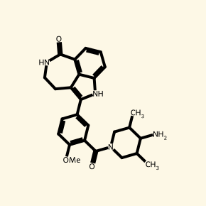 COc1ccc(-c2[nH]c3cccc4c3c2CCNC4=O)cc1C(=O)N1CC(C)C(N)C(C)C1